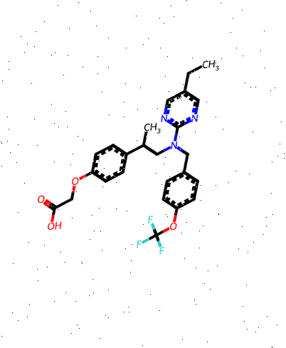 CCc1cnc(N(Cc2ccc(OC(F)(F)F)cc2)CC(C)c2ccc(OCC(=O)O)cc2)nc1